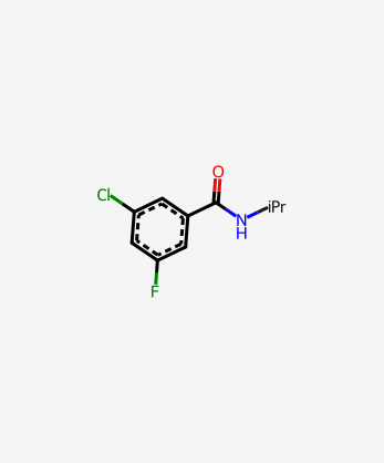 CC(C)NC(=O)c1cc(F)cc(Cl)c1